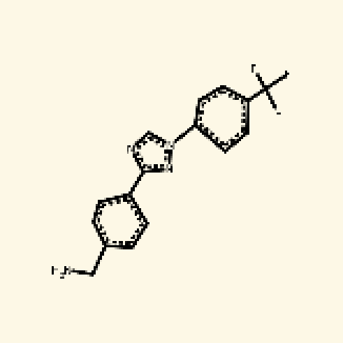 NCc1ccc(-c2ncn(-c3ccc(C(F)(F)F)cc3)n2)cc1